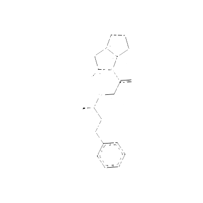 CCOC(=O)[C@H](CCc1ccccc1)N[C@@H](C)C(=O)N1[C@@H](C(=O)O)C[C@H]2CCC[C@H]21